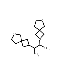 CC(C1CC2(CCOC2)C1)C(C)N1CC2(CCOC2)C1